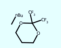 CCCCC.FC(F)(F)C1(C(F)(F)F)OCCCO1